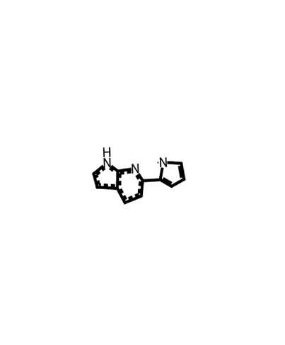 C1=C[N]C(c2ccc3cc[nH]c3n2)=C1